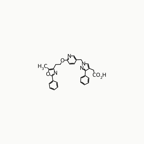 Cc1oc(-c2ccccc2)nc1CCOc1ccc(Cn2cc(CC(=O)O)c(-c3ccccc3)n2)cn1